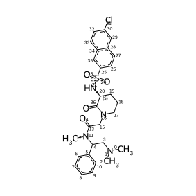 CN(C)CC(c1ccccc1)N(C)C(=O)CN1CCC[C@H](NS(=O)(=O)c2ccc3cc(Cl)ccc3c2)C1=O